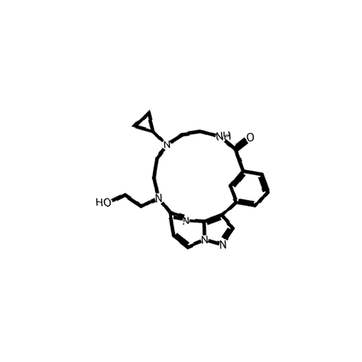 O=C1NCCN(C2CC2)CCN(CCO)c2ccn3ncc(c3n2)-c2cccc1c2